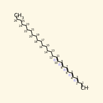 [CH]=C/C=C/C=C/C=C/C=C/C=C/CCCCCCCCCCCCCCCC